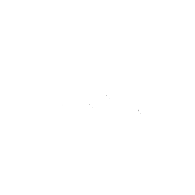 CO[C@H]1CCN(c2ccc(S(=O)(=O)Cl)cn2)C1